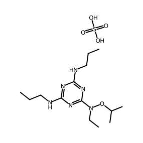 CCCNc1nc(NCCC)nc(N(CC)OC(C)C)n1.O=S(=O)(O)O